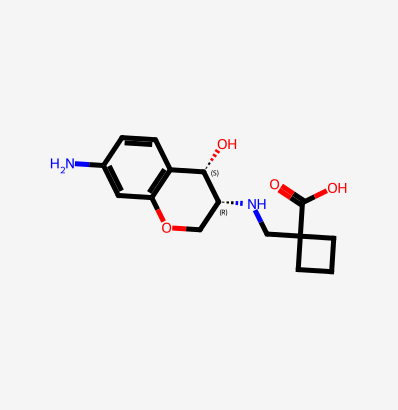 Nc1ccc2c(c1)OC[C@@H](NCC1(C(=O)O)CCC1)[C@H]2O